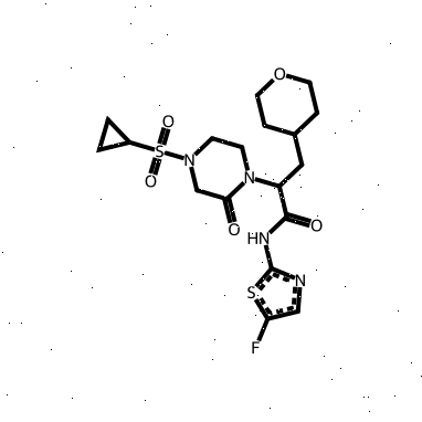 O=C(Nc1ncc(F)s1)C(CC1CCOCC1)N1CCN(S(=O)(=O)C2CC2)CC1=O